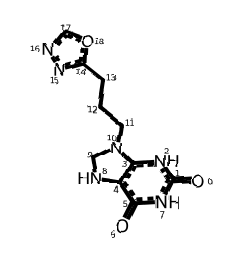 O=c1[nH]c2c(c(=O)[nH]1)NCN2CCCc1nnco1